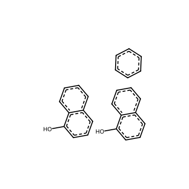 Oc1cccc2ccccc12.Oc1cccc2ccccc12.c1ccccc1